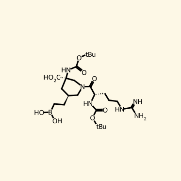 CC(C)(C)OC(=O)N[C@@H](CCCNC(=N)N)C(=O)N1C[C@@H](CCB(O)O)C[C@](NC(=O)OC(C)(C)C)(C(=O)O)C1